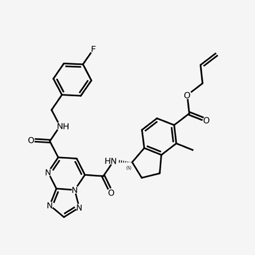 C=CCOC(=O)c1ccc2c(c1C)CC[C@@H]2NC(=O)c1cc(C(=O)NCc2ccc(F)cc2)nc2ncnn12